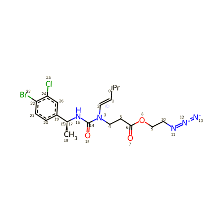 CC(C)/C=C/N(CCC(=O)OCCN=[N+]=[N-])C(=O)N[C@@H](C)c1ccc(Br)c(Cl)c1